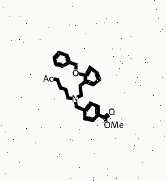 COC(=O)c1ccc(CN(CCCCC(C)=O)CCc2ccccc2OCc2ccccc2)cc1